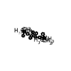 CC1(C)N=C(c2ccccc2)N(c2ccc(-c3ccc4c(c3)C(c3ccccc3)(c3ccccc3)c3cc(-c5ccc(N6C(c7ccccc7)=NC(C)(C)C6(C)C)cc5)c5ccccc5c3-4)cc2)C1(C)C